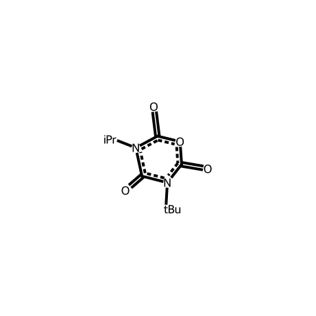 CC(C)n1c(=O)oc(=O)n(C(C)(C)C)c1=O